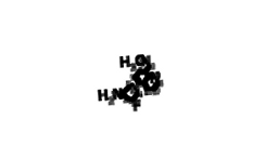 C/N=C\c1ccc(N2C[C@H](N)C[C@H](F)C2)c2cccnc12